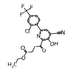 CCOC(=O)CCC(=O)c1nc(-c2ccc(C(F)(F)F)cc2Cl)cc(C#N)c1O